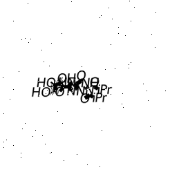 CC(C)C(=O)N(C(=O)C(C)C)c1nc2nc(C3O[C@H](CO)[C@@H](O)[C@@H]3O)[nH]c2c(=O)[nH]1